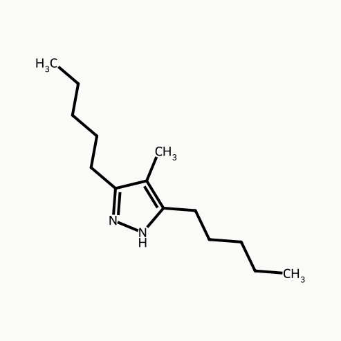 CCCCCc1n[nH]c(CCCCC)c1C